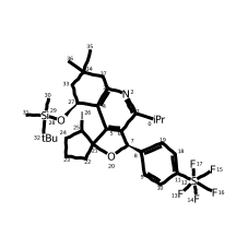 CC(C)c1nc2c(c3c1[C@@H](c1ccc(S(F)(F)(F)(F)F)cc1)OC31CCCC1I)[C@@H](O[Si](C)(C)C(C)(C)C)CC(C)(C)C2